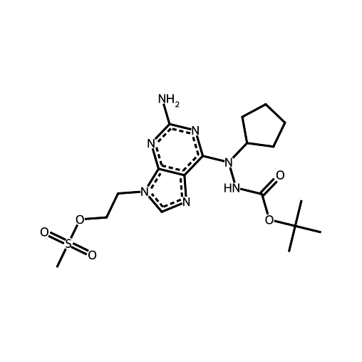 CC(C)(C)OC(=O)NN(c1nc(N)nc2c1ncn2CCOS(C)(=O)=O)C1CCCC1